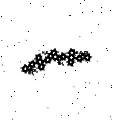 CN1c2cc(-c3c4ccccc4c(-c4ccc5c(c4)C(C)(C)c4ccccc4-5)c4ccccc34)ccc2-c2cc3c(c4cccc1c24)c1ccc(-c2c4ccccc4c(-c4ccc5c(c4)C(C)(C)c4ccccc4-5)c4ccccc24)cc1n3C